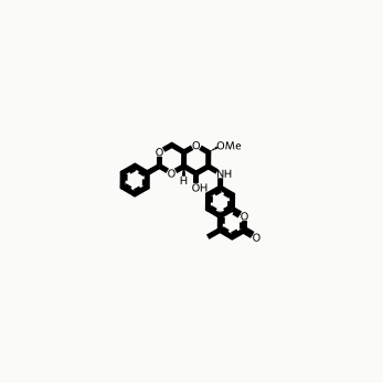 CO[C@H]1OC2COC(c3ccccc3)O[C@H]2C(O)C1Nc1ccc2c(C)cc(=O)oc2c1